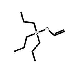 C=CO[Si](CCC)(CCC)CCC